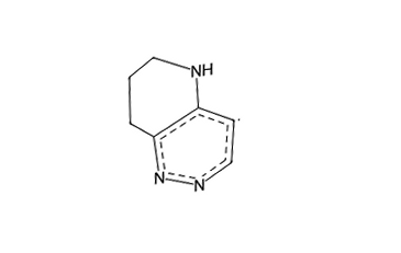 [c]1cnnc2c1NCCC2